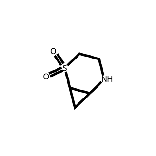 O=S1(=O)CCNC2CC21